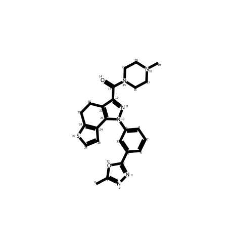 Cc1nnc(-c2cccc(-n3nc(C(=O)N4CCN(C)CC4)c4c3-c3ccsc3CC4)c2)o1